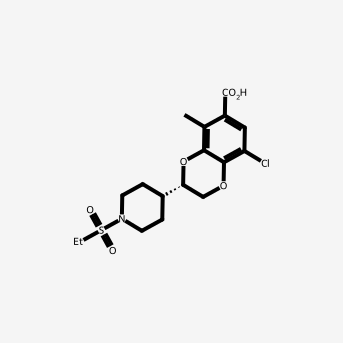 CCS(=O)(=O)N1CCC([C@H]2COc3c(Cl)cc(C(=O)O)c(C)c3O2)CC1